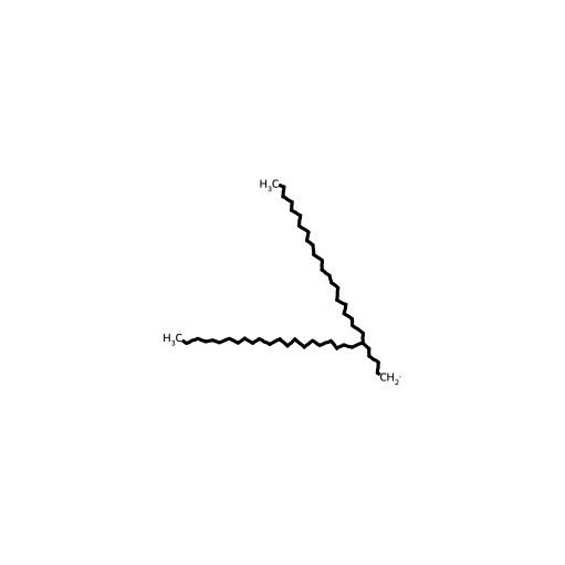 [CH2]CCCCC(CCCCCCCCCCCCCCCCCCCCCC)CCCCCCCCCCCCCCCCCCCCCC